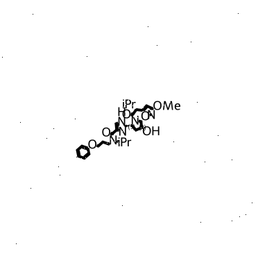 COc1cc(C(C(=O)N2C[C@H](O)C[C@H]2c2nc(C(=O)N(CCCOc3ccccc3)C(C)C)c[nH]2)C(C)C)on1